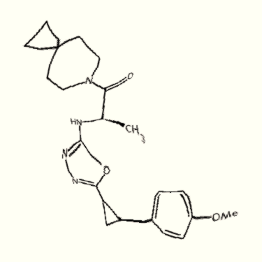 COc1ccc(C2CC2c2nnc(N[C@H](C)C(=O)N3CCC4(CC3)CC4)o2)cc1